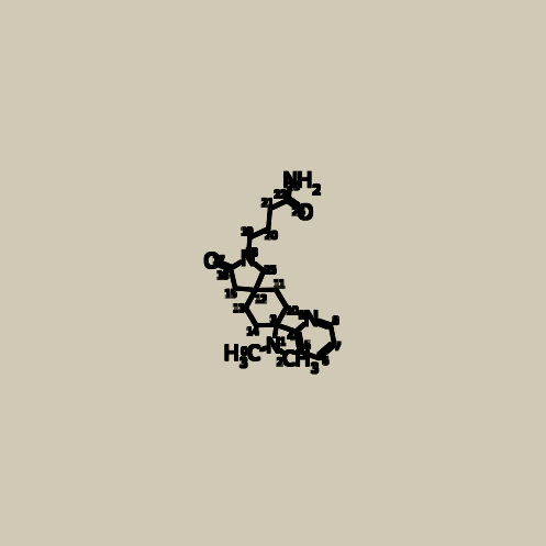 CN(C)C1(c2ccccn2)CCC2(CC1)CC(=O)N(CCCC(N)=O)C2